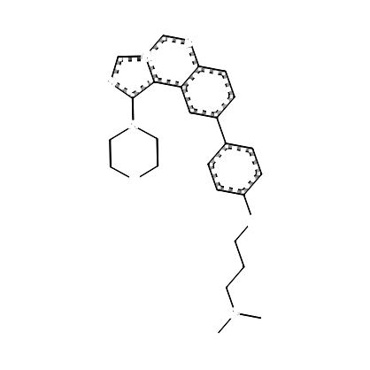 CN(C)CCCOc1ccc(-c2ccc3ncn4cnc(N5CCOCC5)c4c3c2)cc1